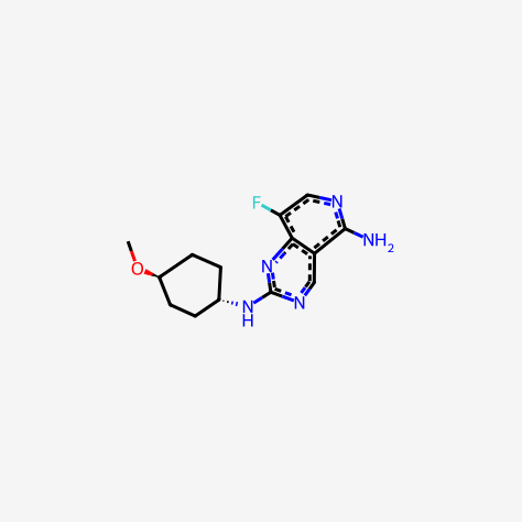 CO[C@H]1CC[C@H](Nc2ncc3c(N)ncc(F)c3n2)CC1